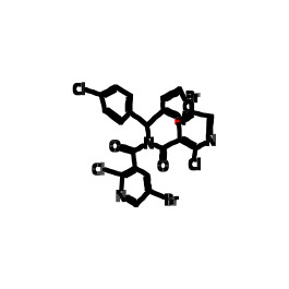 O=C(c1cc(Br)cnc1Cl)N(C(=O)c1cc(Br)cnc1Cl)C(c1ccc(Cl)cc1)c1ccon1